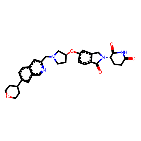 O=C1CC[C@H](N2Cc3cc(O[C@H]4CCN(Cc5cc6ccc(C7CCOCC7)cc6cn5)C4)ccc3C2=O)C(=O)N1